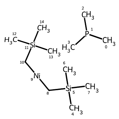 CP(C)C.C[Si](C)(C)[CH2][Ni][CH2][Si](C)(C)C